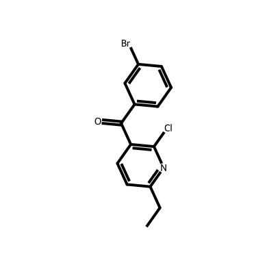 CCc1ccc(C(=O)c2cccc(Br)c2)c(Cl)n1